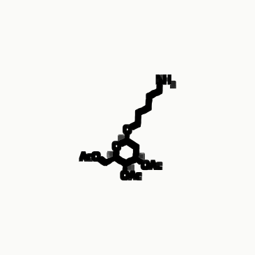 CC(=O)OC[C@H]1O[C@@H](OCCCCCN)C[C@@H](OC(C)=O)[C@H]1OC(C)=O